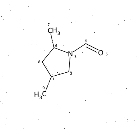 CC1[CH]N(C=O)C(C)C1